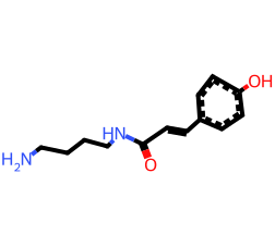 NCCCCNC(=O)C=Cc1ccc(O)cc1